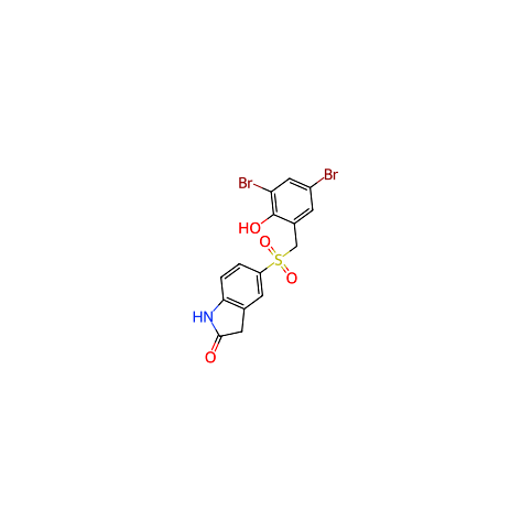 O=C1Cc2cc(S(=O)(=O)Cc3cc(Br)cc(Br)c3O)ccc2N1